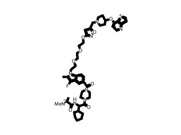 CN[C@@H](C)C(=O)NC(C(=O)N1CCN(C(=O)c2ccc3c(c2)c(F)c(C)n3CCOCCOCCOc2cc(CN3CCC(Oc4ccnc5ccsc45)CC3)on2)CC1)C1CCCCC1